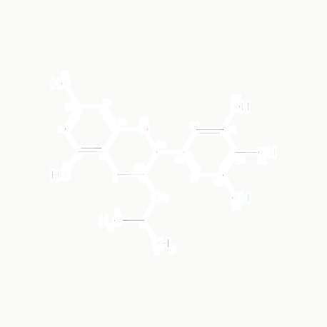 CC(C)O[C@@H]1Cc2c(O)cc(O)cc2OC1c1cc(O)c(O)c(O)c1